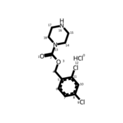 Cl.O=C(OCc1ccc(Cl)cc1Cl)N1CCNCC1